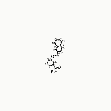 CCC(=O)c1cccc(OCc2ccc3ccccc3c2)c1